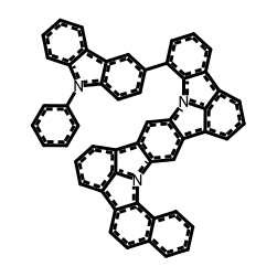 c1ccc(-n2c3ccccc3c3cc(-c4cccc5c6cccc7c8cc9c(cc8n(c45)c76)c4cccc5c6ccc7ccccc7c6n9c45)ccc32)cc1